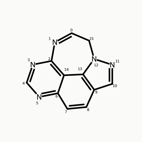 C1=Nc2ncnc3ccc4cnn(c4c23)C1